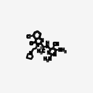 C[C@H](Nc1nc(N)nc(N)c1C#N)c1nc2cccc(Cl)c2c(=O)n1CCN1CCCC1